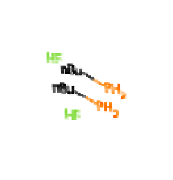 CCCCP.CCCCP.F.F